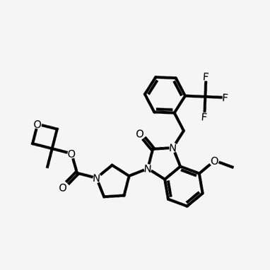 COc1cccc2c1n(Cc1ccccc1C(F)(F)F)c(=O)n2C1CCN(C(=O)OC2(C)COC2)C1